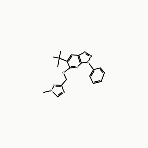 Cn1cnc(COc2nc3c(cc2C(C)(C)C)nnn3-c2ccccc2)n1